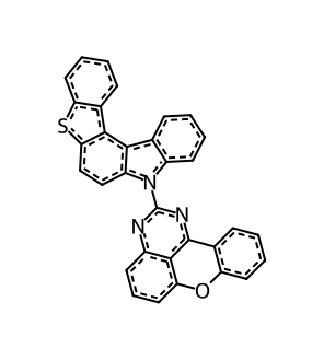 c1ccc2c(c1)Oc1cccc3nc(-n4c5ccccc5c5c6c(ccc54)sc4ccccc46)nc-2c13